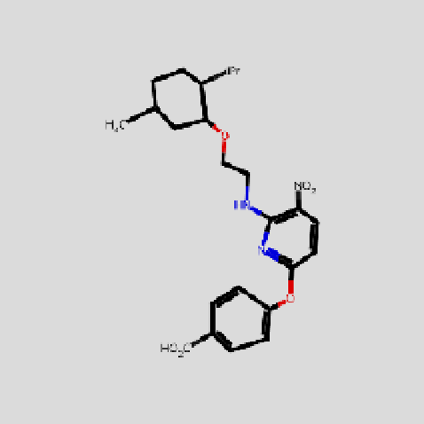 CC1CCC(C(C)C)C(OCCNc2nc(Oc3ccc(C(=O)O)cc3)ccc2[N+](=O)[O-])C1